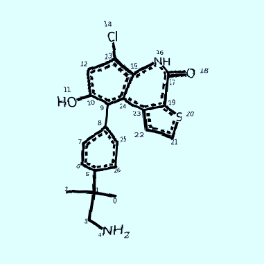 CC(C)(CN)c1ccc(-c2c(O)cc(Cl)c3[nH]c(=O)c4sccc4c23)cc1